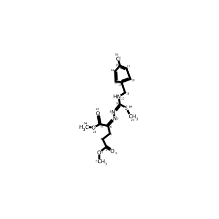 COC(=O)CC/C(=N/N=C(/NCc1ccc(Cl)cc1)SC)C(=O)OC